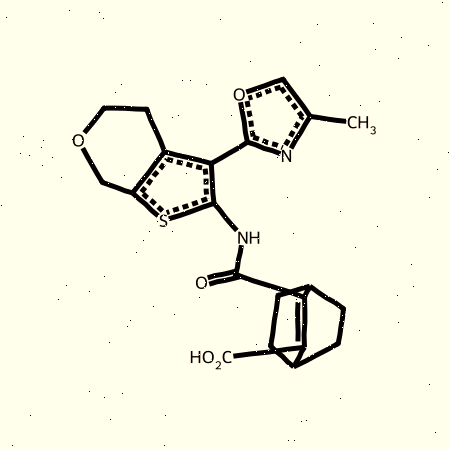 Cc1coc(-c2c(NC(=O)C3=C(C(=O)O)C4CCC3CC4)sc3c2CCOC3)n1